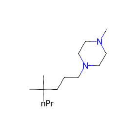 CCCC(C)(C)CCCN1CCN(C)CC1